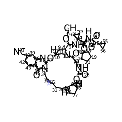 C=C[C@@H]1C[C@]1(NC(=O)[C@@H]1C[C@@H]2CN1C(=O)[C@H](C1CCCC1)NC(=O)O[C@@H]1CCC[C@H]1CC/C=C/Cn1c(nc3cc(C#N)ccc3c1=O)O2)C(=O)NS(=O)(=O)C1CC1